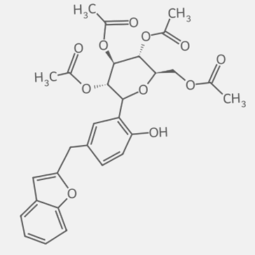 CC(=O)OC[C@H]1OC(c2cc(Cc3cc4ccccc4o3)ccc2O)[C@H](OC(C)=O)[C@@H](OC(C)=O)[C@@H]1OC(C)=O